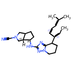 C/C=C(\C=C/C=C(C)C)C1CCCn2nc(N[C@@H]3CCC4CN(C#N)C[C@H]43)nc21